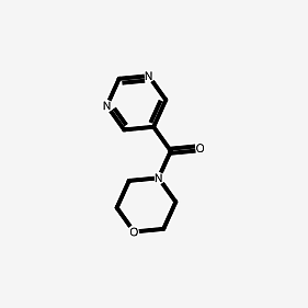 O=C(c1cncnc1)N1CCOCC1